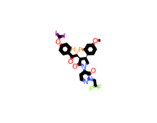 COc1ccc([C@@H]2CN(c3ccnn(CC(F)F)c3=O)C(=O)[C@H]2CC(=O)c2ccc(OC(I)I)cc2)c(P)c1